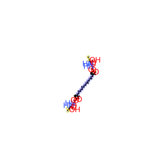 CSCCC(NC(=O)NCC(=O)OC1CC(C)(C)C(/C=C/C(C)=C/C=C/C(C)=C/C=C/C=C(C)/C=C/C=C(C)/C=C/C2=C(C)C(=O)C(OC(=O)CNC(=O)NC(CCSC)C(=O)O)CC2(C)C)=C(C)C1=O)C(=O)O